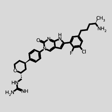 C[C@H](N)CCCc1cc(Cl)c(F)c(-c2cc3cn(-c4ccc([C@@H]5CCO[C@@H](CNC(=N)N)C5)cc4)c(=O)nc3[nH]2)c1